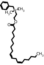 CCCCC/C=C\C/C=C\CCCCCCCC(=O)OCC[N+](C)(C)Cc1ccccc1